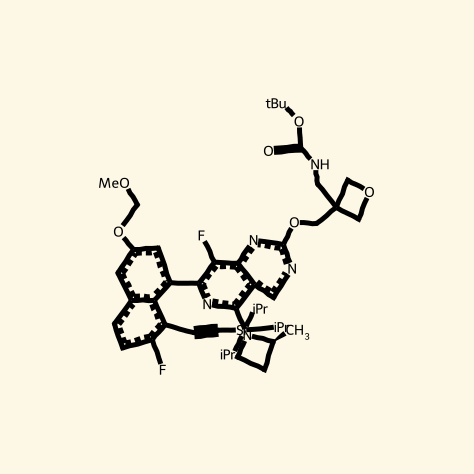 COCOc1cc(-c2nc(N3CC[C@@H]3C)c3cnc(OCC4(CNC(=O)OC(C)(C)C)COC4)nc3c2F)c2c(C#C[Si](C(C)C)(C(C)C)C(C)C)c(F)ccc2c1